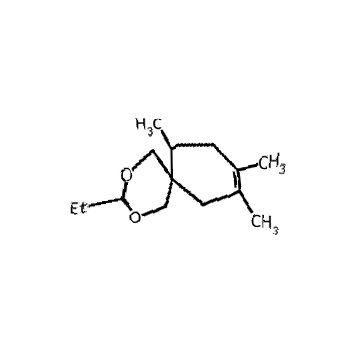 CCC1OCC2(CO1)CC(C)=C(C)CC2C